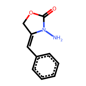 NN1C(=O)OCC1=Cc1ccccc1